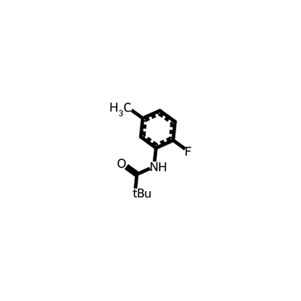 Cc1ccc(F)c(NC(=O)C(C)(C)C)c1